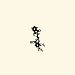 COc1ccc(C(=O)O)c(OCCCCN2C(=O)c3ccccc3C2=O)c1C